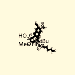 C=CCCCCOC(=O)NC(C(=O)N1CC(OC)CC1(C(=O)O)c1ccc2cc(N(C)C)c(C=C)cc2c1)C(C)(C)C